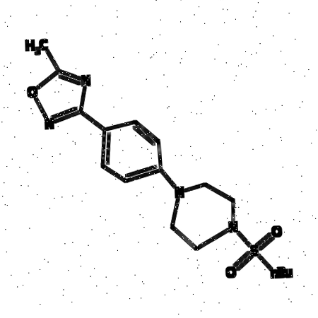 CCCCS(=O)(=O)N1CCN(c2ccc(-c3noc(C)n3)cc2)CC1